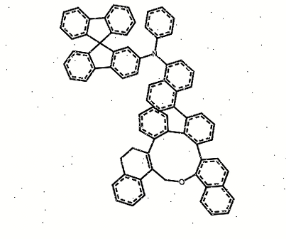 c1ccc(N(c2ccc3c(c2)C2(c4ccccc4-c4ccccc42)c2ccccc2-3)c2cccc3c(-c4cccc5c4-c4ccccc4C4=C(COc6c-5ccc5ccccc65)c5ccccc5CC4)cccc23)cc1